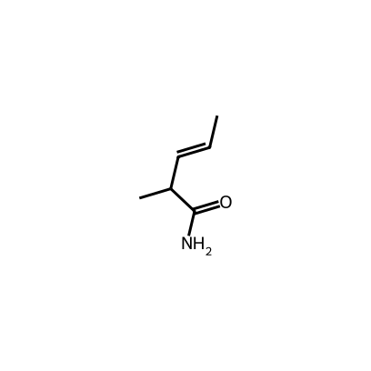 CC=CC(C)C(N)=O